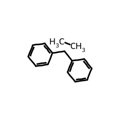 CC.c1ccc(Cc2ccccc2)cc1